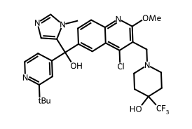 COc1nc2ccc(C(O)(c3ccnc(C(C)(C)C)c3)c3cncn3C)cc2c(Cl)c1CN1CCC(O)(C(F)(F)F)CC1